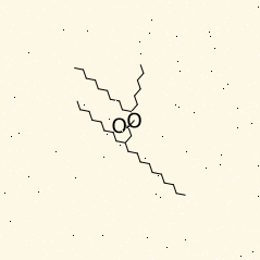 CCCCCCCCCCC(CCCCCCCC)CC(=O)OC(CCCCCC)CCCCCCCCC